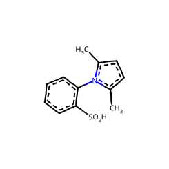 Cc1ccc(C)n1-c1ccccc1S(=O)(=O)O